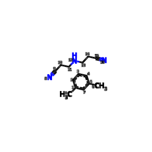 Cc1cccc(C)c1.N#CCCNCCC#N